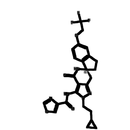 O=C(Nc1c2c(nn1CCC1CC1)C[C@]1(CCc3cc(OCC(F)(F)F)ccc31)NC2=O)c1cocn1